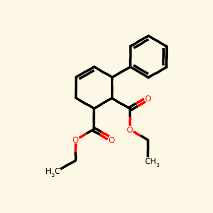 CCOC(=O)C1CC=CC(c2ccccc2)C1C(=O)OCC